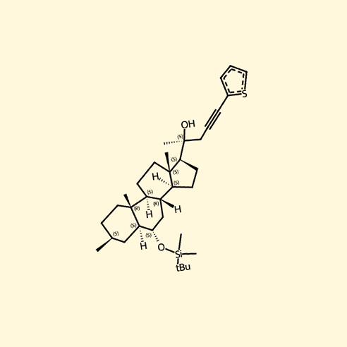 C[C@H]1CC[C@@]2(C)[C@H](C1)[C@@H](O[Si](C)(C)C(C)(C)C)C[C@@H]1[C@@H]2CC[C@@]2(C)[C@H]1CC[C@@H]2[C@@](C)(O)CC#Cc1cccs1